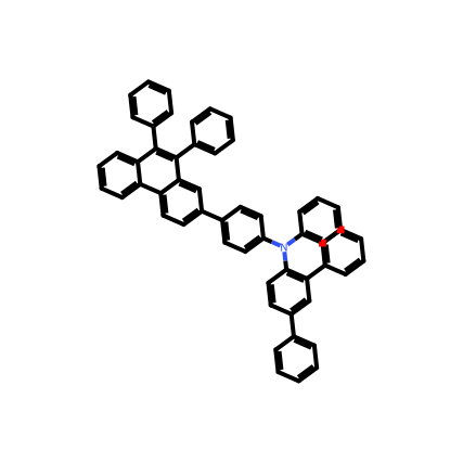 c1ccc(-c2ccc(N(c3ccccc3)c3ccc(-c4ccc5c(c4)c(-c4ccccc4)c(-c4ccccc4)c4ccccc45)cc3)c(-c3ccccc3)c2)cc1